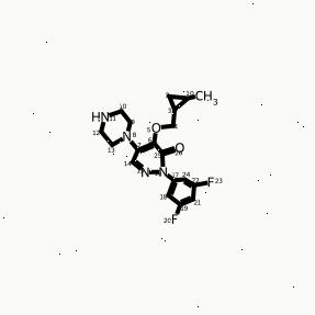 CC1CC1COc1c(N2CCNCC2)cnn(-c2cc(F)cc(F)c2)c1=O